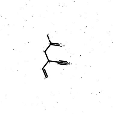 C=CC(C#N)CC(C)=O